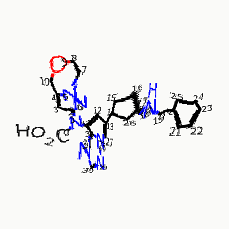 O=C(O)N(c1cc2n(n1)CCOC2)c1cc(C2CCC(NCc3ccccc3)C2)cn2ncnc12